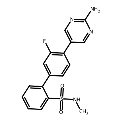 CNS(=O)(=O)c1ccccc1-c1ccc(-c2cnc(N)nc2)c(F)c1